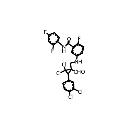 O=CC1(CNc2ccc(F)c(C(=O)Nc3ccc(F)cc3F)c2)C(c2ccc(Cl)c(Cl)c2)C1(Cl)Cl